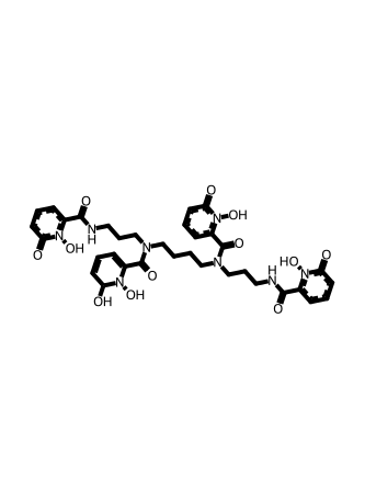 O=C(NCCCN(CCCCN(CCCNC(=O)c1cccc(=O)n1O)C(=O)c1cccc(=O)n1O)C(=O)C1=CC=CC(O)N1O)c1cccc(=O)n1O